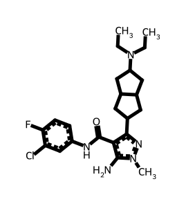 CCN(CC)C1CC2CC(c3nn(C)c(N)c3C(=O)Nc3ccc(F)c(Cl)c3)CC2C1